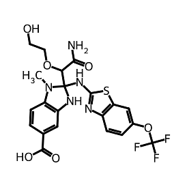 CN1c2ccc(C(=O)O)cc2NC1(Nc1nc2ccc(OC(F)(F)F)cc2s1)C(OCCO)C(N)=O